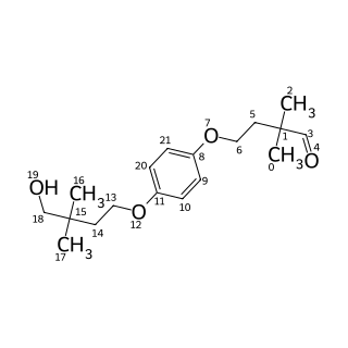 CC(C)(C=O)CCOc1ccc(OCCC(C)(C)CO)cc1